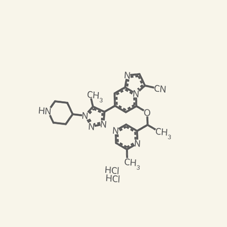 Cc1cncc(C(C)Oc2cc(-c3nnn(C4CCNCC4)c3C)cc3ncc(C#N)n23)n1.Cl.Cl